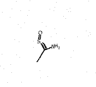 CC(N)=S=O